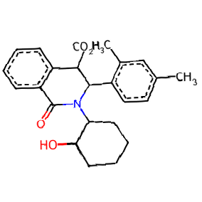 Cc1ccc(C2C(C(=O)O)c3ccccc3C(=O)N2C2CCCCC2O)c(C)c1